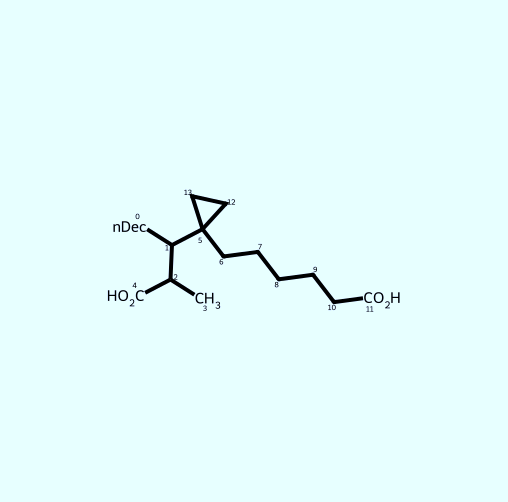 CCCCCCCCCCC(C(C)C(=O)O)C1(CCCCCC(=O)O)CC1